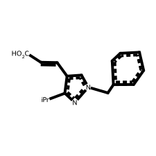 CC(C)c1nn(Cc2ccccc2)cc1/C=C/C(=O)O